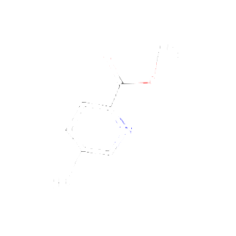 [CH2]c1ccc(C(=O)OC)nc1